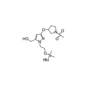 CC(C)(C)[Si](C)(C)OCCn1nc(OC2CCN(S(C)(=O)=O)C2)cc1CO